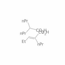 CC/C=C(\CCC)C(=O)O.CCCC(CCC)C(=O)O